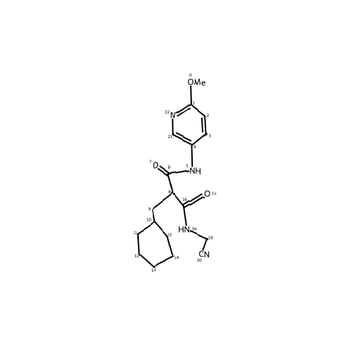 COc1ccc(NC(=O)C(CC2CCCCC2)C(=O)NCC#N)cn1